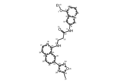 CCOc1nccn2cc(NC(=O)CCNc3nccc4ccc(-c5noc(C)n5)cc34)cc12